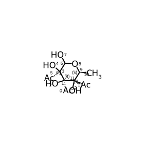 CC(=O)[C@]1(O)[C@](O)(C(C)=O)C(O)O[C@@H](C)[C@@]1(O)C(C)=O